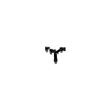 O=PO.[H+].[Na+]